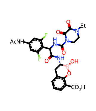 CCN1CCN(C(=O)NC(C(=O)N[C@H]2Cc3cccc(C(=O)O)c3OB2O)c2c(F)cc(NC(C)=O)cc2F)C(=O)C1=O